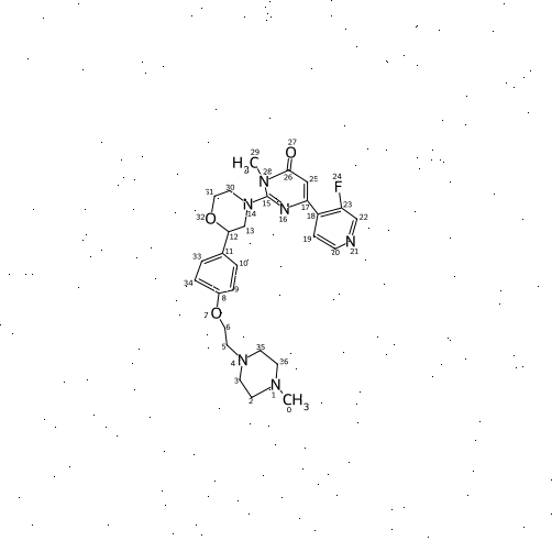 CN1CCN(CCOc2ccc(C3CN(c4nc(-c5ccncc5F)cc(=O)n4C)CCO3)cc2)CC1